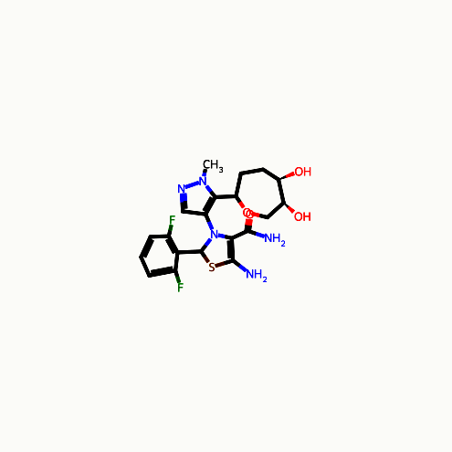 Cn1ncc(N2C(C(N)=O)=C(N)SC2c2c(F)cccc2F)c1C1CC[C@@H](O)[C@@H](O)CO1